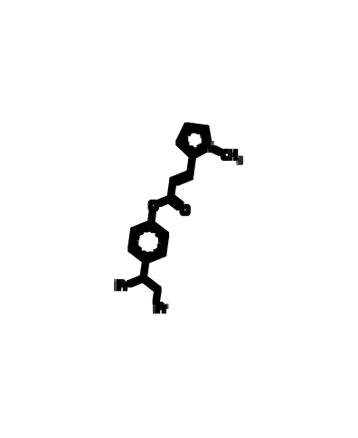 CC(C)CC(c1ccc(OC(=O)/C=C/c2cccn2C)cc1)C(C)C